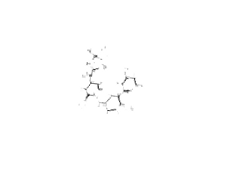 COc1ccc(Cn2ccc(NC(=O)OC(C)(C)C)cc2=O)cc1-c1cccc(C)c1